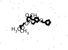 Cc1c2n(c(OCC3CC(C)(C)O3)cc1=O)CCc1cc(OCc3ccccc3)ccc1-2